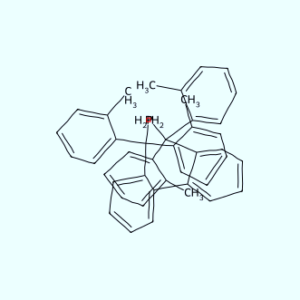 Cc1ccccc1C(P)(c1ccccc1C)c1ccccc1-c1ccccc1C(P)(c1ccccc1C)c1ccccc1C